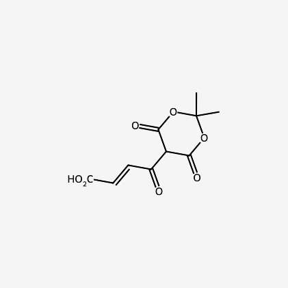 CC1(C)OC(=O)C(C(=O)/C=C/C(=O)O)C(=O)O1